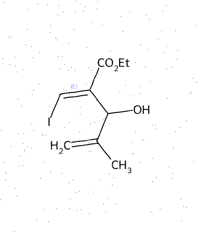 C=C(C)C(O)/C(=C\I)C(=O)OCC